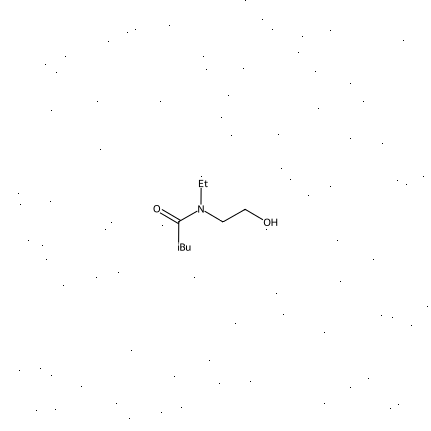 CCC(C)C(=O)N(CC)CCO